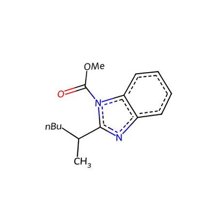 CCCCC(C)c1nc2ccccc2n1C(=O)OC